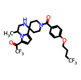 CC1CNC2(CCN(C(=O)c3ccc(OCCCC(F)(F)F)cc3)CC2)c2ccc(C(=O)C(F)(F)F)n21